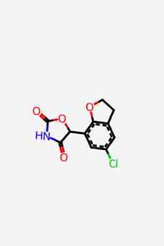 O=C1NC(=O)C(c2cc(Cl)cc3c2OCC3)O1